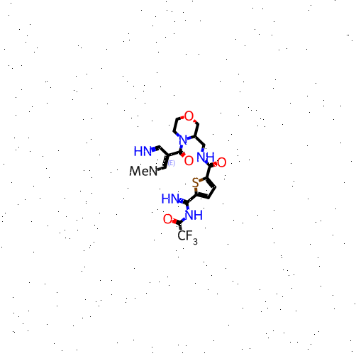 CN/C=C(\C=N)C(=O)N1CCOCC1CNC(=O)c1ccc(C(=N)NC(=O)C(F)(F)F)s1